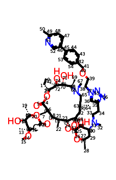 CC[C@H]1OC(=O)[C@H](C)[C@@H](O[C@H]2C[C@@](C)(OC)[C@@H](O)[C@H](C)O2)[C@H](C)[C@@H](O[C@@H]2O[C@H](C)C[C@H](N(C)CCc3cn(CCOCc4ccc(-c5ccc(C)nc5)cc4)nn3)[C@H]2O)[C@](C)(O)C[C@@H](C)CN(C)[C@H](C)[C@@H](O)[C@]1(C)O